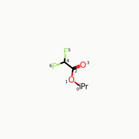 CC(C)OC(=O)C(F)F